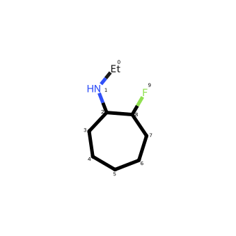 CCNC1CCCCCC1F